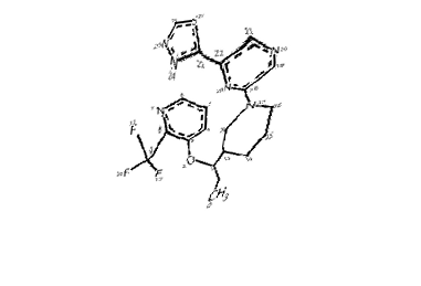 CC(Oc1cccnc1C(F)(F)F)C1CCCN(c2cncc(-c3nncs3)n2)C1